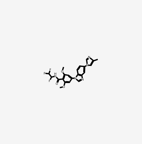 COc1cc(-n2cnc3cc(-n4cnc(C)c4)ccc32)cc(OC)c1C(=O)NC(F)C(F)F